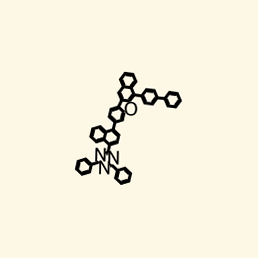 c1ccc(-c2ccc(-c3c4ccccc4cc4c3oc3cc(-c5ccc(-c6nc(-c7ccccc7)nc(-c7ccccc7)n6)c6ccccc56)ccc34)cc2)cc1